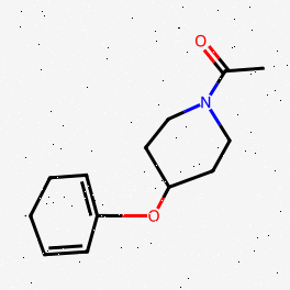 CC(=O)N1CCC(OC2=CC[CH]C=C2)CC1